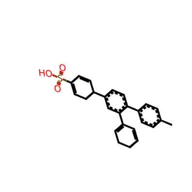 Cc1ccc(-c2ccc(C3C=CC(S(=O)(=O)O)=CC3)cc2C2=CCCC=C2)cc1